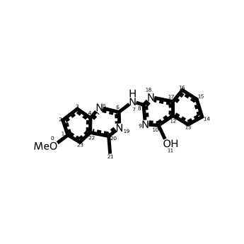 COc1ccc2nc(Nc3nc(O)c4ccccc4n3)nc(C)c2c1